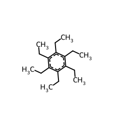 CCc1c(CC)c(CC)c(CC)c(CC)c1CC